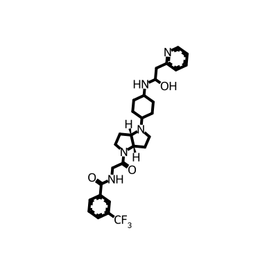 O=C(NCC(=O)N1CC[C@H]2[C@@H]1CCN2C1CCC(NC(O)Cc2ccccn2)CC1)c1cccc(C(F)(F)F)c1